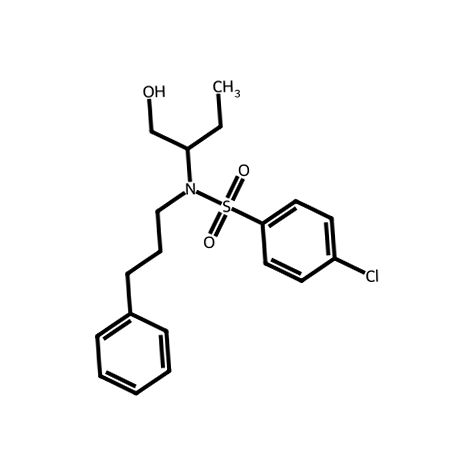 CCC(CO)N(CCCc1ccccc1)S(=O)(=O)c1ccc(Cl)cc1